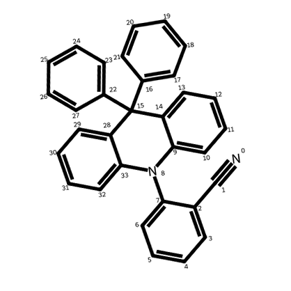 N#Cc1ccccc1N1c2ccccc2C(c2ccccc2)(c2ccccc2)c2ccccc21